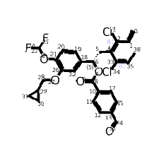 C=C/C(Cl)=C(C[C@H](OC(=O)c1ccc(C=O)cc1)c1ccc(OC(F)F)c(OCC2CC2)c1)\C(Cl)=C/C